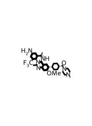 COc1cc2nc(C)nc(N[C@H](C)c3cc(N)cc(C(F)(F)F)c3)c2cc1[C@H]1CC[C@@H](C(=O)N2CCN(C)CC2)CC1